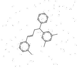 [CH2]c1cccc(C=CCC(c2ccccc2)c2cc(C)cc(C)c2)c1